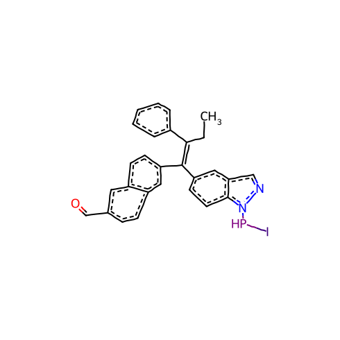 CC/C(=C(/c1ccc2cc(C=O)ccc2c1)c1ccc2c(cnn2PI)c1)c1ccccc1